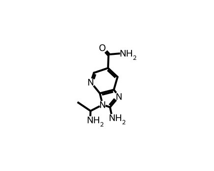 CC(N)n1c(N)nc2cc(C(N)=O)cnc21